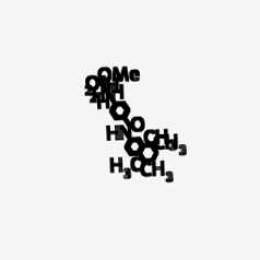 [2H]C([2H])(C(=O)OC)C([2H])([2H])c1ccc(C(=O)Nc2ccc3c(c2)C(C)(C)CCC3(C)C)cc1